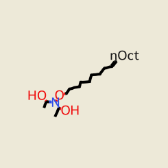 CCCCCCCC/C=C\CCCCCCCCON(C(C)O)C(C)O